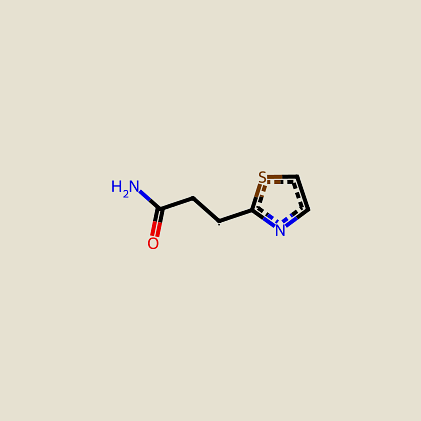 NC(=O)C[CH]c1nccs1